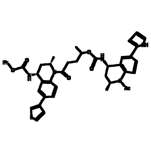 CC(=O)N1c2ccc(-c3ccc[nH]3)cc2[C@H](NC(=O)OC(C)CCC(=O)N2c3ccc(-c4ccsc4)cc3[C@H](NC(=O)OC(C)C)C[C@@H]2C)C[C@@H]1C